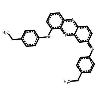 CCc1ccc(N=c2ccc3nc4cccc(Nc5ccc(CC)cc5)c4sc-3c2)cc1